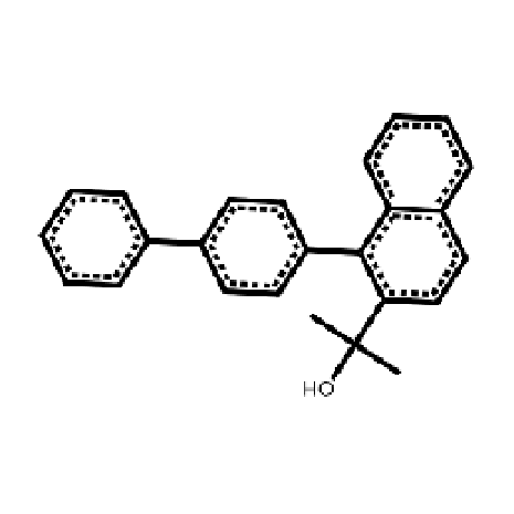 CC(C)(O)c1ccc2ccccc2c1-c1ccc(-c2ccccc2)cc1